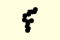 CC1(C)c2ccccc2-c2cc3c(cc21)-c1ccc(-c2cccc(-c4cccc(-c5cc(-c6ccc7c(c6)oc6ccccc67)nc(-c6ccccc6)n5)c4)c2)cc1C3(C)C